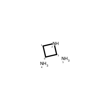 C1CNC1.N.N